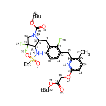 CCS(=O)(=O)N[C@@H]1[C@H](Cc2cccc(Cc3nc(OCC(=O)OC(C)(C)C)ccc3C)c2F)N(C(=O)OC(C)(C)C)CC1(F)F